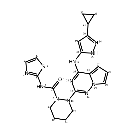 O=C(Nc1nccs1)N1CCCCN1c1nc(Nc2cc(C3CC3)n[nH]2)c2cccn2n1